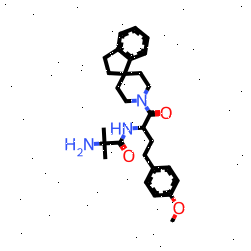 COc1ccc(CCC(NC(=O)C(C)(C)N)C(=O)N2CCC3(CCc4ccccc43)CC2)cc1